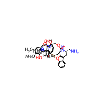 COc1c(C)cc2c(c1O)[C@@H]1[C@@H]3[C@@H]4SC[C@]5(N[C@H](CN)Cc6c5oc5ccccc65)C(=O)OC[C@@H](c5c6c(c(C)c(OC(C)=O)c54)OCO6)N3C(O)(C2)CN1C